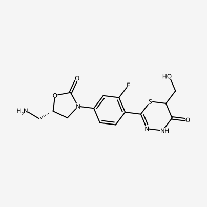 NC[C@H]1CN(c2ccc(C3=NNC(=O)C(CO)S3)c(F)c2)C(=O)O1